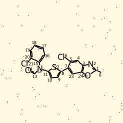 Cc1nc2cc(Cl)c(-c3ccc(N(C=O)c4ccccc4Cl)s3)cc2o1